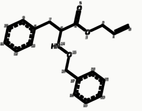 C=CCOC(=O)C(Cc1ccccc1)NOCc1ccccc1